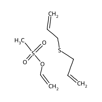 C=CCSCC=C.C=COS(C)(=O)=O